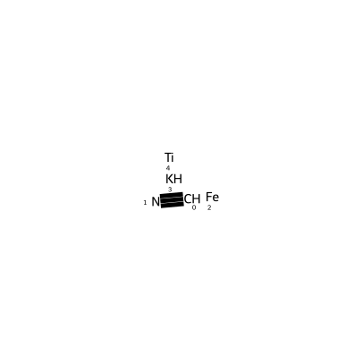 C#N.[Fe].[KH].[Ti]